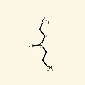 CCCN(I)CCC